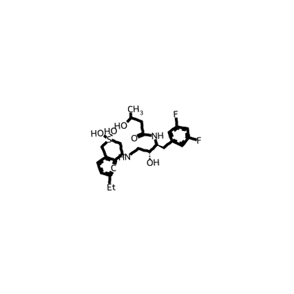 CCc1ccc2c(c1)[C@@H](NC[C@@H](O)[C@H](Cc1cc(F)cc(F)c1)NC(=O)CC(C)O)CS(O)(O)C2